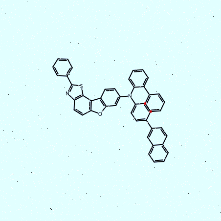 c1ccc(-c2nc3ccc4oc5cc(N(c6ccc(-c7ccc8ccccc8c7)cc6)c6ccccc6-c6ccccc6)ccc5c4c3s2)cc1